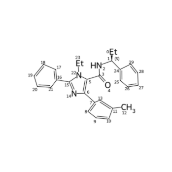 CC[C@H](NC(=O)c1c(-c2cccc(C)c2)nc(-c2ccccc2)n1CC)c1ccccc1